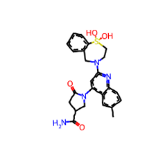 Cc1ccc2nc(N3CCS(O)(O)c4ccccc4C3)cc(N3CC(C(N)=O)CC3=O)c2c1